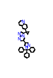 c1ccc(C(c2ccccc2)(c2ccccc2)n2cc(-c3cnc4ncc(C5(c6ccc7ncccc7c6)CC5)n4c3)cn2)cc1